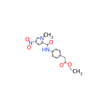 CCOC(=O)Cc1ccc(NC(=O)c2cc([N+](=O)[O-])cn2C)cc1